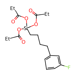 CCC(=O)O[Si](CCCCc1cccc(F)c1)(OC(=O)CC)OC(=O)CC